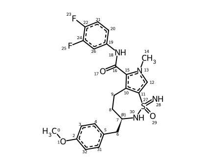 COc1ccc(C[C@H]2CCc3c(cn(C)c3C(=O)Nc3ccc(F)c(F)c3)S(=N)(=O)N2)cc1